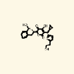 CC[C@H](Cc1ccccc1CO)C1OC(=O)C([C@@H](c2ccc(CCO)s2)C2CC2)=C(O)C1=O